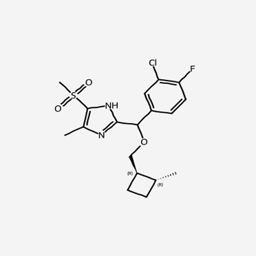 Cc1nc(C(OC[C@@H]2CC[C@H]2C)c2ccc(F)c(Cl)c2)[nH]c1S(C)(=O)=O